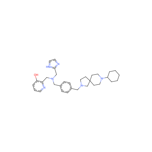 Oc1cccnc1CN(Cc1ccc(CN2CCC3(CCN(C4CCCCC4)CC3)C2)cc1)Cc1ncc[nH]1